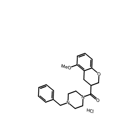 COc1cccc2c1CC(C(=O)N1CCN(Cc3ccccc3)CC1)CO2.Cl